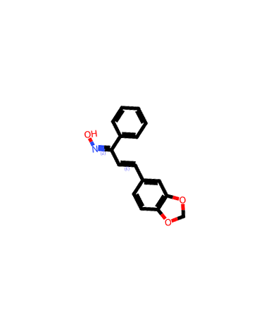 O/N=C(/C=C/c1ccc2c(c1)OCO2)c1ccccc1